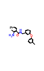 C/C(N)=C(\C=C/C(C)C)C(=O)NCc1cccc(Oc2cccc(C)c2)c1